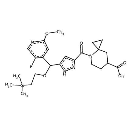 COc1cc(C(OCC[Si](C)(C)C)c2cc(C(=O)N3CCC(C(=O)O)CC34CC4)n[nH]2)c(F)cn1